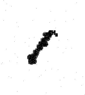 Cc1ccc2c(c1)C1(CCCC1)c1cc(-c3ccc4c(c3)C3(CCCC3)c3cc(-c5ccc(/C=C/c6ccc(-c7ccc8c(c7)c7ccccc7n8-c7cccc8ccccc78)cc6)cc5)ccc3-4)ccc1-2